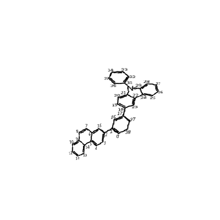 C1=C(c2ccc3c(ccc4ccccc43)c2)C=C(c2ccc3c(c2)c2ccccc2n3-c2ccccc2)CC1